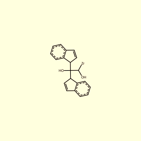 O[CH]([Zr])C(O)(C1C=Cc2ccccc21)C1C=Cc2ccccc21